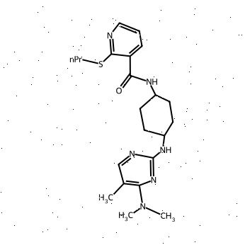 CCCSc1ncccc1C(=O)NC1CCC(Nc2ncc(C)c(N(C)C)n2)CC1